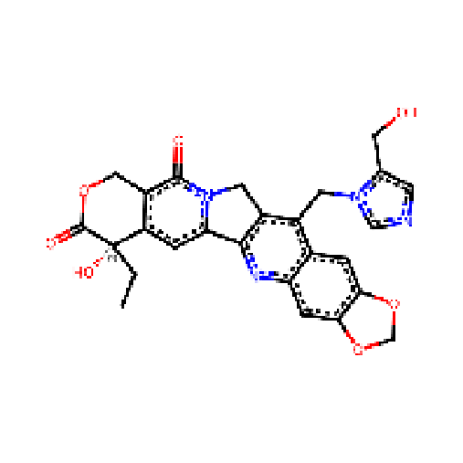 CC[C@@]1(O)C(=O)OCc2c1cc1n(c2=O)Cc2c-1nc1cc3c(cc1c2Cn1cncc1CO)OCO3